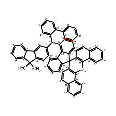 CC1(C)c2ccccc2-c2cc(N(c3ccccc3-c3ccccc3)c3cccc4c3-c3ccccc3C43c4ccc5ccccc5c4Oc4c3ccc3ccccc43)ccc21